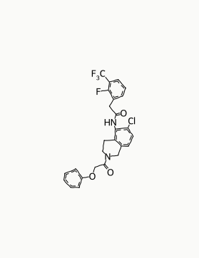 O=C(Cc1cccc(C(F)(F)F)c1F)Nc1c(Cl)ccc2c1CCN(C(=O)COc1ccccc1)C2